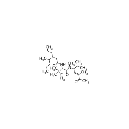 CCCC(C)C(CCC)CC(=O)NC(C(=O)N(C)C(/C=C(\C)C(C)=O)C(C)C)C(C)(C)C